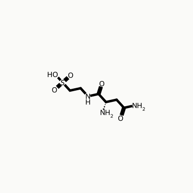 NC(=O)C[C@H](N)C(=O)NCCS(=O)(=O)O